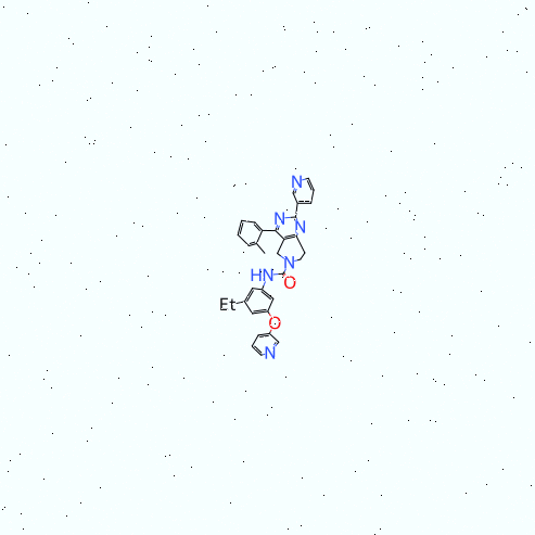 CCc1cc(NC(=O)N2CCc3nc(-c4cccnc4)nc(-c4ccccc4C)c3C2)cc(Oc2cccnc2)c1